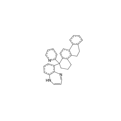 C1=CNc2cccc(C3(c4ccccn4)CCCc4c3ccc3c4CCc4ccccc4-3)c2N=C1